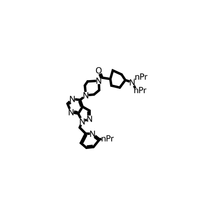 CCCc1cccc(Cn2ncc3c(N4CCN(C(=O)C5CCC(N(CCC)CCC)CC5)CC4)ncnc32)n1